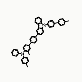 Cc1ccc(-c2ccc(-n3c4ccccc4c4cc(-c5ccc(-c6ccc(N(c7ccccc7)c7ccc(C)cc7)c(C)c6)cc5)ccc43)cc2)cc1